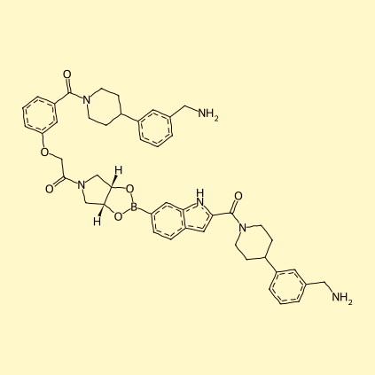 NCc1cccc(C2CCN(C(=O)c3cccc(OCC(=O)N4C[C@@H]5OB(c6ccc7cc(C(=O)N8CCC(c9cccc(CN)c9)CC8)[nH]c7c6)O[C@@H]5C4)c3)CC2)c1